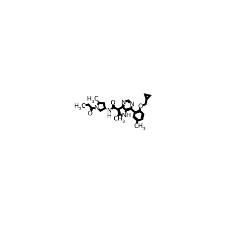 CCC(=O)N1C[C@@H](NC(=O)c2c(C)[nH]c3c(-c4cc(C)ccc4OCC4CC4)ncnc23)C[C@@H]1C